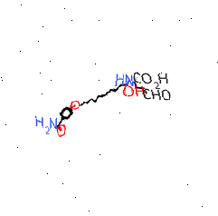 NC(=O)c1ccc(OCCCCCCCCCCC(O)N[C@@H](CCC=O)C(=O)O)cc1